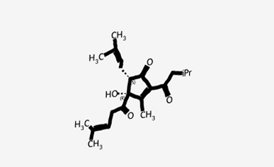 CC(C)=CCC(=O)[C@]1(O)C(C)=C(C(=O)CC(C)C)C(=O)[C@H]1CC=C(C)C